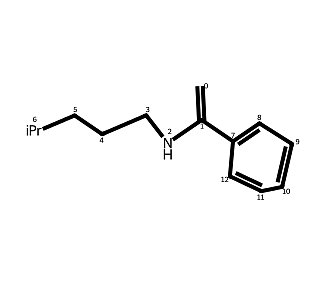 C=C(NCCCC(C)C)c1ccccc1